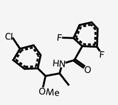 COC(c1ccc(Cl)cc1)C(C)NC(=O)c1c(F)cccc1F